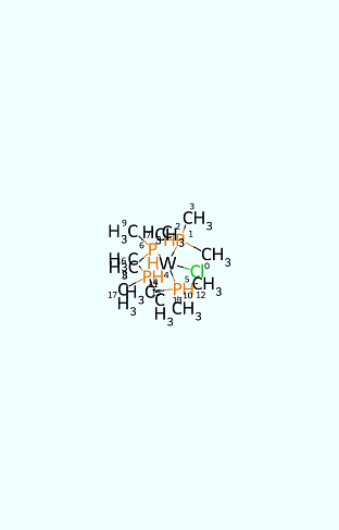 C[PH](C)(C)[W]([Cl])([PH](C)(C)C)([PH](C)(C)C)[PH](C)(C)C